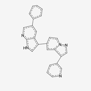 c1ccc(-c2cnc3[nH]cc(-c4ccn5ncc(-c6cccnc6)c5c4)c3c2)cc1